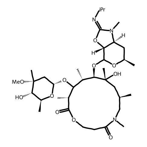 CO[C@]1(C)C[C@H](OC2[C@@H](C)C(=O)OCCC(=O)N(C)C[C@H](C)C[C@@](C)(O)[C@H](OC3O[C@H](C)C[C@H]4[C@H]3O/C(=N/C(C)C)N4C)[C@H]2C)O[C@@H](C)[C@@H]1O